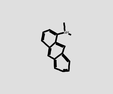 C[SiH](C)c1cccc2cc3ccccc3cc12